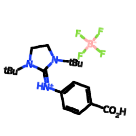 CC(C)(C)N1CCN(C(C)(C)C)C1=[NH+]c1ccc(C(=O)O)cc1.F[B-](F)(F)F